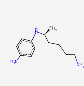 C[C@@H](CCCCN)Nc1ccc(N)cc1